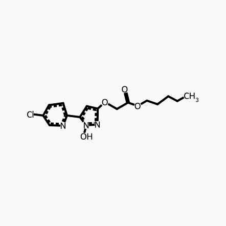 CCCCCOC(=O)COc1cc(-c2ccc(Cl)cn2)n(O)n1